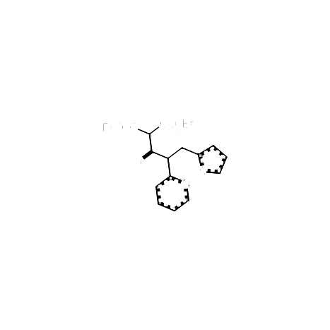 CCOC(=O)C(C(=O)OCC)C(=O)C(Cc1cccs1)c1ccccn1